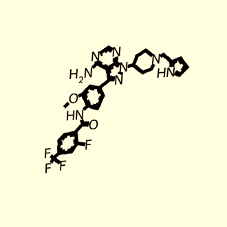 COc1cc(-c2nn(C3CCN(Cc4ccc[nH]4)CC3)c3ncnc(N)c23)ccc1NC(=O)c1ccc(C(F)(F)F)cc1F